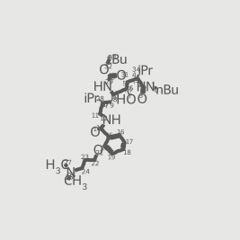 CCCCNC(=O)[C@@H](C[C@H](O)[C@H](C[C@H](CNC(=O)c1ccccc1OCCCN(C)C)C(C)C)NC(=O)OC(C)(C)C)C(C)C